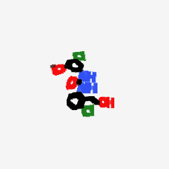 COc1cc(Cl)cc(NC(=O)Nc2cccc(Cl)c2CCO)c1